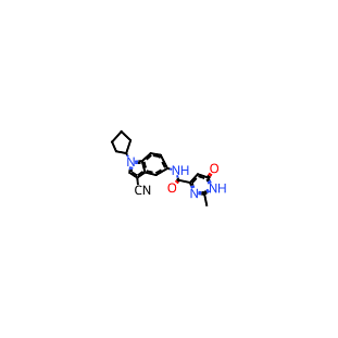 Cc1nc(C(=O)Nc2ccc3c(c2)c(C#N)cn3C2CCCC2)cc(=O)[nH]1